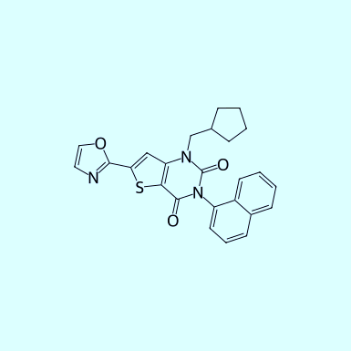 O=c1c2sc(-c3ncco3)cc2n(CC2CCCC2)c(=O)n1-c1cccc2ccccc12